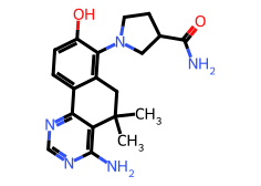 CC1(C)Cc2c(ccc(O)c2N2CCC(C(N)=O)C2)-c2ncnc(N)c21